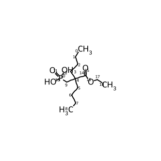 CCCCC(CCCC)(CP(=O)(O)O)C(=O)OCC